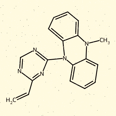 C=Cc1ncnc(N2c3ccccc3N(C)c3ccccc32)n1